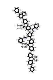 CCCCCCC1(CCCCCC)c2cc(-c3ccc4c(c3)C(CCC)(CCC)c3cc(-c5ccccc5)ccc3-4)ccc2-c2ccc(-c3cc(/C=C/c4ccncc4)c(-c4ccc5c(c4)C(CCCCCC)(CCCCCC)c4cc(-c6ccc(-c7ccccc7)c7nsnc67)ccc4-5)cc3/C=C/c3ccncc3)cc21